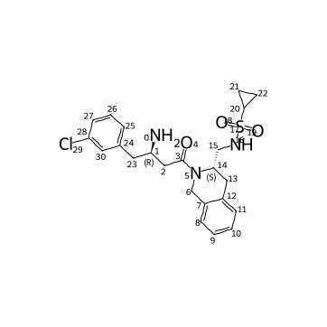 N[C@@H](CC(=O)N1Cc2ccccc2C[C@H]1CNS(=O)(=O)C1CC1)Cc1cccc(Cl)c1